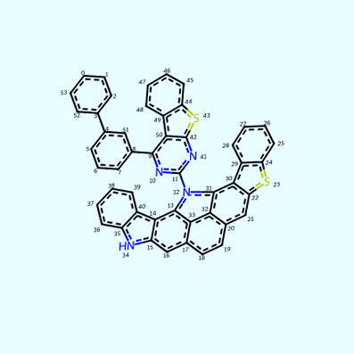 c1ccc(-c2cccc(-c3nc(-n4c5c6c(cc7ccc8cc9sc%10ccccc%10c9c4c8c75)[nH]c4ccccc46)nc4sc5ccccc5c34)c2)cc1